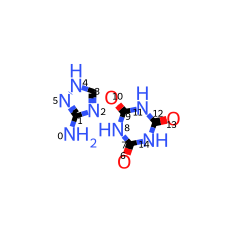 Nc1nc[nH]n1.O=c1[nH]c(=O)[nH]c(=O)[nH]1